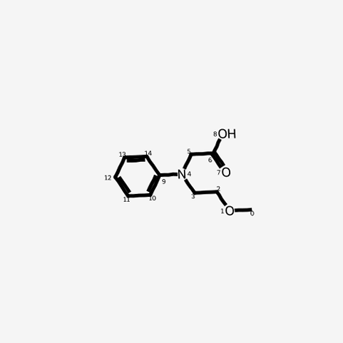 COCCN(CC(=O)O)c1ccccc1